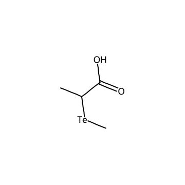 C[Te]C(C)C(=O)O